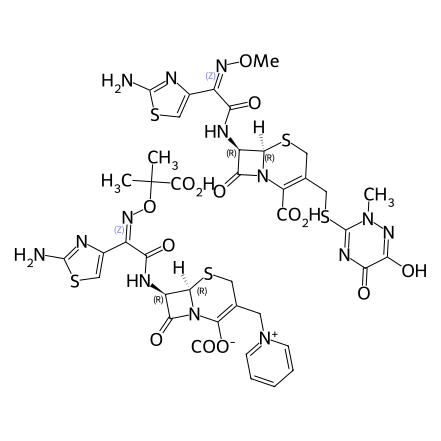 CC(C)(O/N=C(\C(=O)N[C@@H]1C(=O)N2C(C(=O)[O-])=C(C[n+]3ccccc3)CS[C@H]12)c1csc(N)n1)C(=O)O.CO/N=C(\C(=O)N[C@@H]1C(=O)N2C(C(=O)O)=C(CSc3nc(=O)c(O)nn3C)CS[C@H]12)c1csc(N)n1